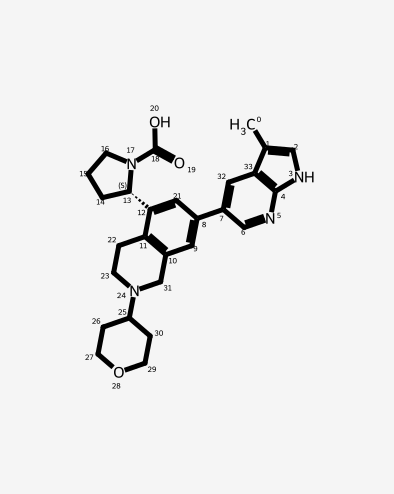 Cc1c[nH]c2ncc(-c3cc4c(c([C@@H]5CCCN5C(=O)O)c3)CCN(C3CCOCC3)C4)cc12